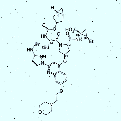 CC[C@@H]1C[C@]1(NC(=O)[C@@H]1C[C@@H](Oc2cc(N3C=CC(NC(C)C)N3)nc3cc(OCCN4CCOCC4)ccc23)CN1C(=O)[C@@H](NC(=O)OC1CC2C[C@H]2C1)C(C)(C)C)C(=O)O